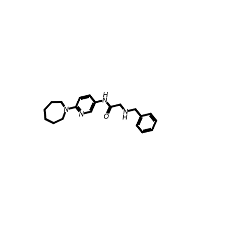 O=C(CNCc1ccccc1)Nc1ccc(N2CCCCCC2)nc1